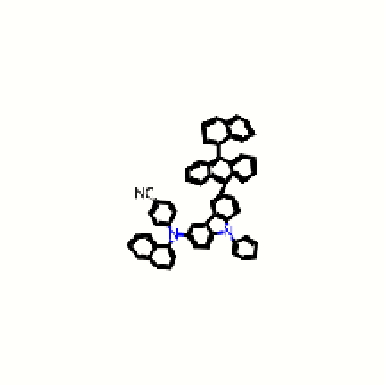 N#Cc1ccc(N(c2ccc3c(c2)c2cc(-c4c5ccccc5c(-c5cccc6ccccc56)c5ccccc45)ccc2n3-c2ccccc2)c2cccc3ccccc23)cc1